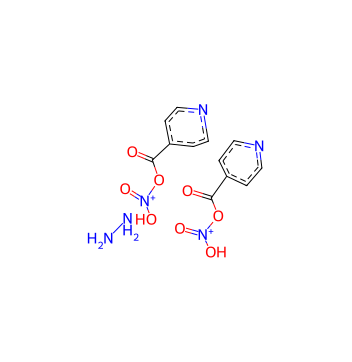 NN.O=C(O[N+](=O)O)c1ccncc1.O=C(O[N+](=O)O)c1ccncc1